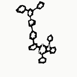 c1ccc(-c2cc(-c3ccccc3)cc(-c3ccc(-c4ccc(-c5cccc(-c6nc(-c7ccccc7)c7c8ccccc8n(-c8ccccc8)c7n6)c5)cc4)cc3)c2)cc1